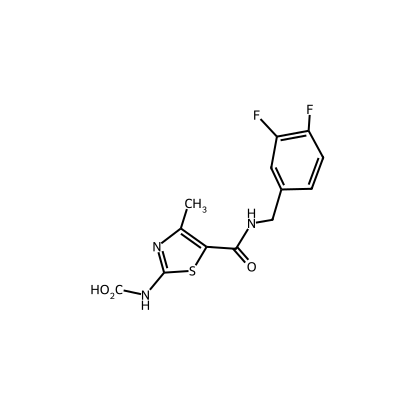 Cc1nc(NC(=O)O)sc1C(=O)NCc1ccc(F)c(F)c1